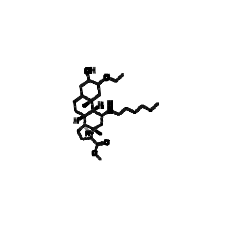 CCCCCCNC1C[C@]2(C)C(C(=O)OC)CC[C@H]2[C@@H]2CCC3CC(O)C(OCC)C[C@]3(C)[C@H]12